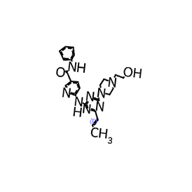 C/C=C/c1nc(Nc2ccc(C(=O)Nc3ccccc3)cn2)nc(N2CCN(CCO)CC2)n1